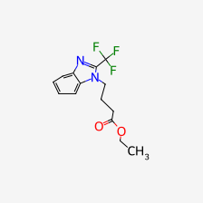 CCOC(=O)CCCn1c(C(F)(F)F)nc2ccccc21